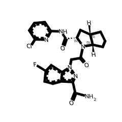 NC(=O)c1nn(CC(=O)N2[C@H](C(=O)Nc3cccc(Cl)n3)C[C@@H]3CCC[C@@H]32)c2cc(F)ccc12